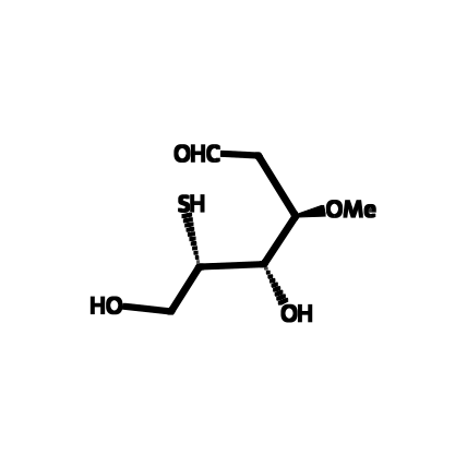 CO[C@H](CC=O)[C@H](O)[C@@H](S)CO